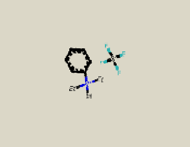 CC[N+](CC)(CC)c1ccccc1.F[B-](F)(F)F